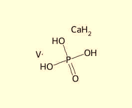 O=P(O)(O)O.[CaH2].[V]